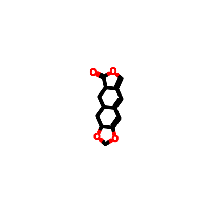 O=C1OC=C2C=C3C=C4OCOC4CC3CC12